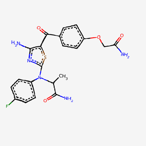 CC(C(N)=O)N(c1ccc(F)cc1)c1nc(N)c(C(=O)c2ccc(OCC(N)=O)cc2)s1